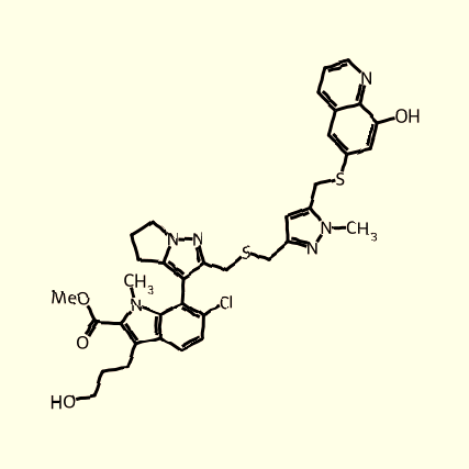 COC(=O)c1c(CCCO)c2ccc(Cl)c(-c3c(CSCc4cc(CSc5cc(O)c6ncccc6c5)n(C)n4)nn4c3CCC4)c2n1C